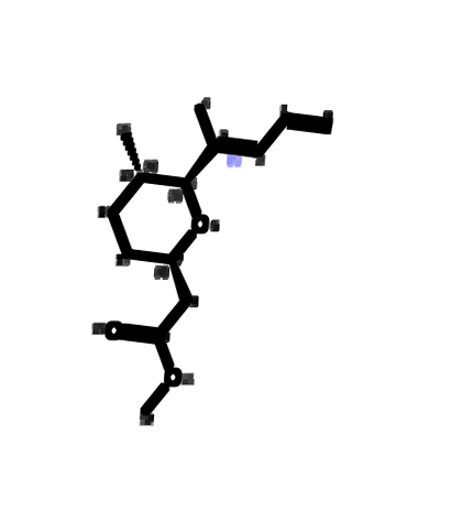 C=C/C=C(\C)[C@H]1O[C@@H](CC(=O)OC)CC[C@@H]1C